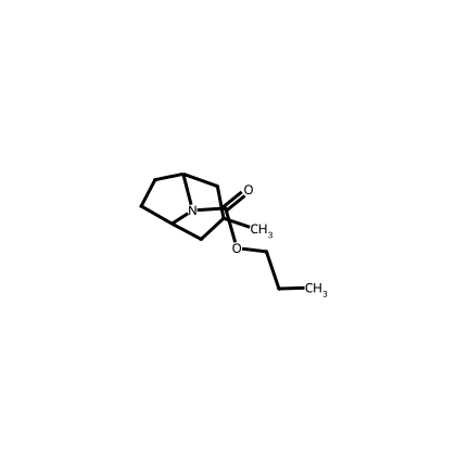 CCCOC(=O)N1C2CCC1CC(C)C2